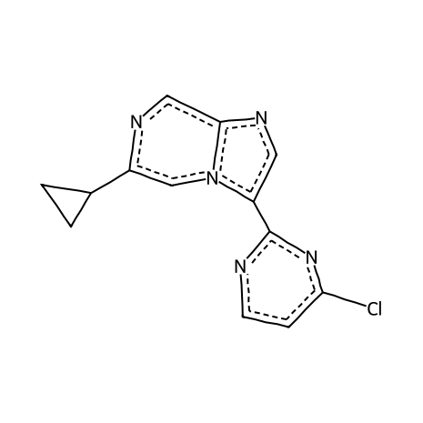 Clc1ccnc(-c2cnc3cnc(C4CC4)cn23)n1